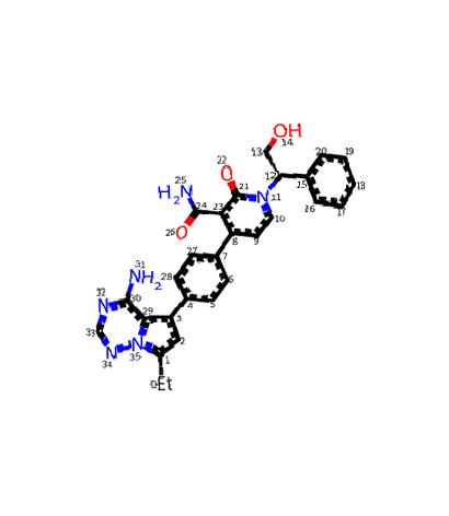 CCc1cc(-c2ccc(-c3ccn([C@@H](CO)c4ccccc4)c(=O)c3C(N)=O)cc2)c2c(N)ncnn12